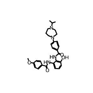 COc1ccc(C(=O)Nc2cccc(O)c2NC(=O)c2ccc(N3CCCN(C(C)C)CC3)cc2)cc1